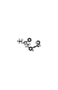 O=C(Nc1ccc(F)c(C#Cc2cnc3cccnn23)c1)N1N=C(OC(=O)C(F)(F)F)C[C@H]1c1ccccc1